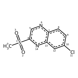 CS(=O)(=O)c1cnc2ccc(Cl)cc2n1